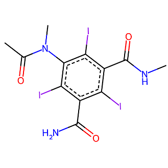 CNC(=O)c1c(I)c(C(N)=O)c(I)c(N(C)C(C)=O)c1I